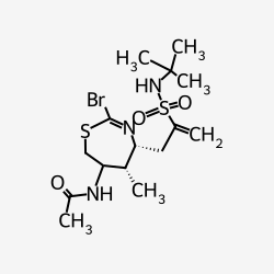 C=C(C[C@H]1N=C(Br)SCC(NC(C)=O)[C@H]1C)S(=O)(=O)NC(C)(C)C